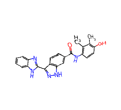 Cc1c(O)ccc(NC(=O)c2ccc3c(-c4nc5ccccc5[nH]4)n[nH]c3c2)c1C